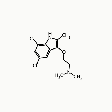 Cc1[nH]c2c(Cl)cc(Cl)cc2c1OCCN(C)C